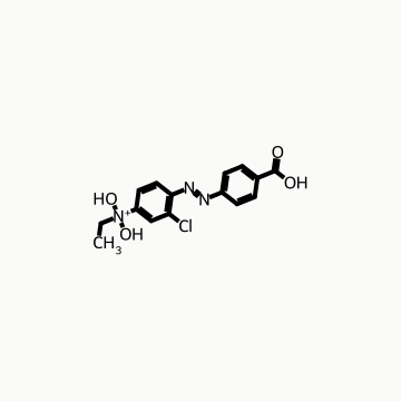 CC[N+](O)(O)c1ccc(N=Nc2ccc(C(=O)O)cc2)c(Cl)c1